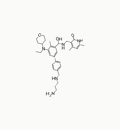 CCN(c1cc(-c2ccc(CNCCCN)cc2)cc(C(O)NCc2c(C)cc(C)[nH]c2=O)c1C)C1CCOCC1